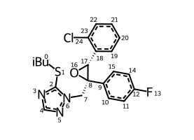 CCC(C)Sc1ncnn1C[C@]1(c2ccc(F)cc2)O[C@@H]1c1ccccc1Cl